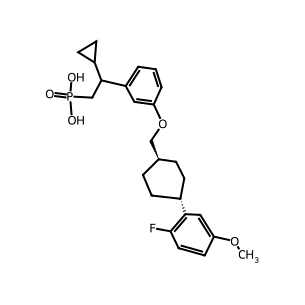 COc1ccc(F)c([C@H]2CC[C@H](COc3cccc(C(CP(=O)(O)O)C4CC4)c3)CC2)c1